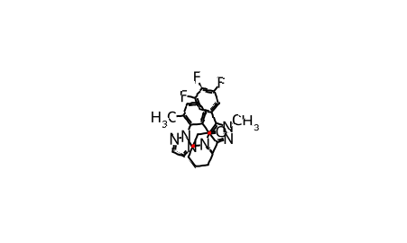 Cc1cccc(C(=O)N2C3CCCC2c2nn(C)c(-c4cc(F)c(F)c(F)c4)c2C3)c1-n1nccn1